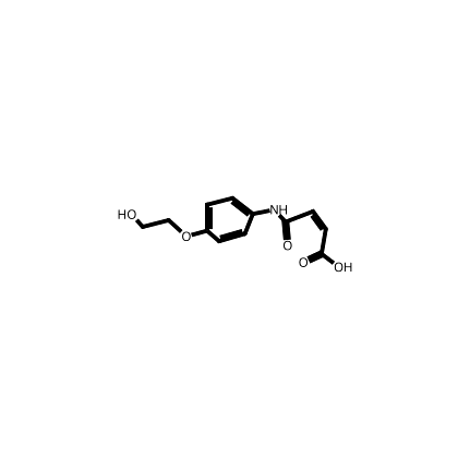 O=C(O)/C=C\C(=O)Nc1ccc(OCCO)cc1